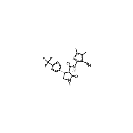 Cc1sc(NC(=O)[C@H]2C(=O)N(C)C[C@@H]2c2ccc(C(F)(F)F)cc2)c(C#N)c1C